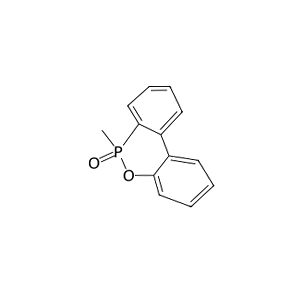 CP1(=O)Oc2ccccc2-c2ccccc21